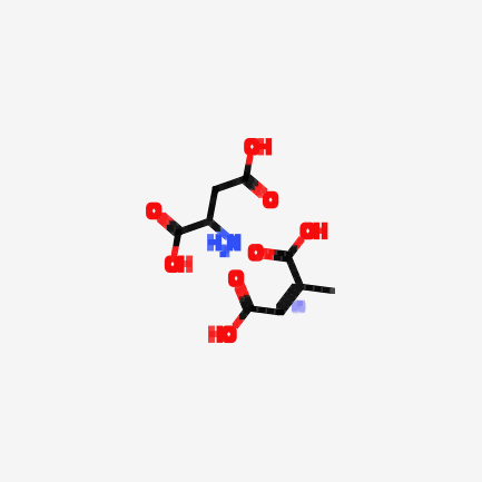 C/C(=C/C(=O)O)C(=O)O.NC(CC(=O)O)C(=O)O